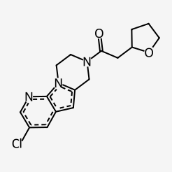 O=C(CC1CCCO1)N1CCn2c(cc3cc(Cl)cnc32)C1